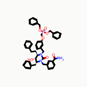 NC(=O)c1cccc(CN2C(=O)N(Cc3cccc(OCP(=O)(OCc4ccccc4)OCc4ccccc4)c3)[C@H](CCc3ccccc3)[C@@H](O)[C@H]2Cc2ccccc2)c1